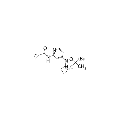 CC(C)(C)C(C)(C)ON(c1ccnc(NC(=O)C2CC2)c1)C1CCC1